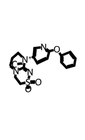 O=S1(=O)CCN2C(=N1)[N+]1(c3ccc(Oc4ccccc4)nc3)CCC2CC1